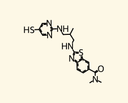 CC(CNc1ncc(S)cn1)CNc1nc2ccc(C(=O)N(C)C)cc2s1